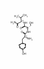 CC(C)[C@H](NC(=O)[C@H](CO)NC(=O)[C@@H](N)Cc1ccc(O)cc1)C(N)=O